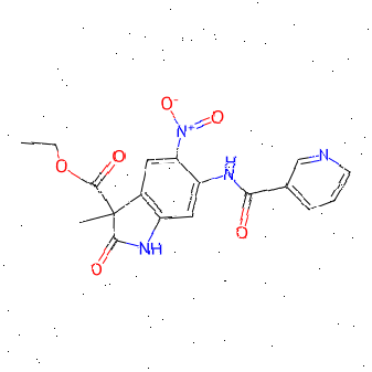 CCOC(=O)C1(C)C(=O)Nc2cc(NC(=O)c3cccnc3)c([N+](=O)[O-])cc21